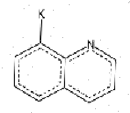 [K][c]1cccc2cccnc12